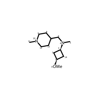 CO[C@H]1C[C@@H](N(C)CC2CCN(C)CC2)C1